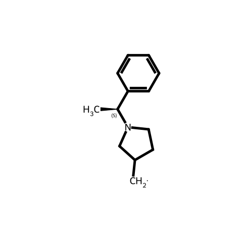 [CH2]C1CCN([C@@H](C)c2ccccc2)C1